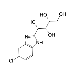 OC[C@@H](O)[C@H](O)[C@@H](O)c1nc2cc(Cl)ccc2[nH]1